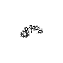 [2H]C1([2H])OC([2H])([2H])C([2H])([2H])N(c2cc(C(=O)Nc3cc4cc(-c5cncn5C)ncc4cn3)ccn2)C1([2H])[2H]